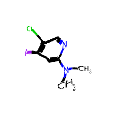 CN(C)c1cc(I)c(Cl)cn1